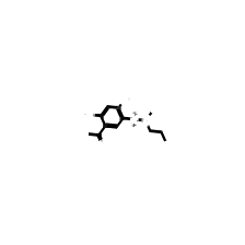 CCCN(C)S(=O)(=O)c1cc(C(C)=O)c(O)cc1O